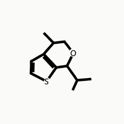 CC1COC(C(C)C)c2sccc21